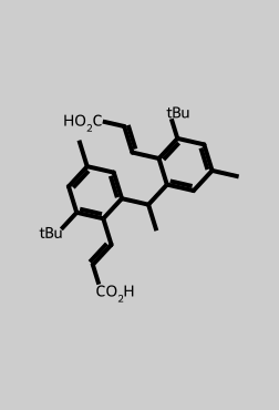 Cc1cc(C(C)c2cc(C)cc(C(C)(C)C)c2C=CC(=O)O)c(C=CC(=O)O)c(C(C)(C)C)c1